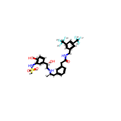 C[C@H](Cc1cccc(CC(=O)NCc2cc(C(F)(F)F)cc(C(F)(F)F)c2)c1)NC[C@@H](O)c1ccc(O)c(NS(C)(=O)=O)c1